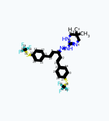 CC1(C)CN=C(NN=C(/C=C/c2ccc(SC(F)(F)F)cc2)/C=C/c2ccc(SC(F)(F)F)cc2)NC1